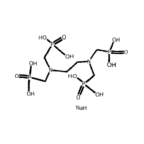 O=P(O)(O)CN(CCN(CP(=O)(O)O)CP(=O)(O)O)CP(=O)(O)O.[NaH]